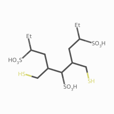 CCC(CC(CS)C(C(CS)CC(CC)S(=O)(=O)O)S(=O)(=O)O)S(=O)(=O)O